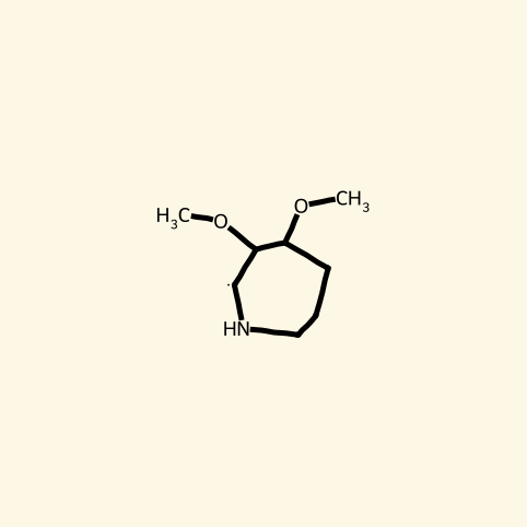 COC1[CH]NCCCC1OC